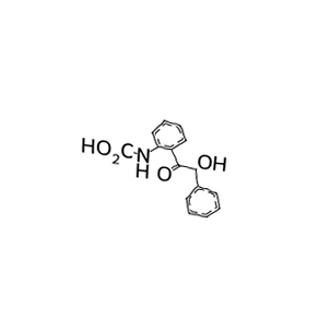 O=C(O)Nc1ccccc1C(=O)C(O)c1ccccc1